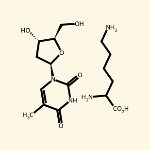 Cc1cn([C@H]2C[C@H](O)[C@@H](CO)O2)c(=O)[nH]c1=O.NCCCCC(N)C(=O)O